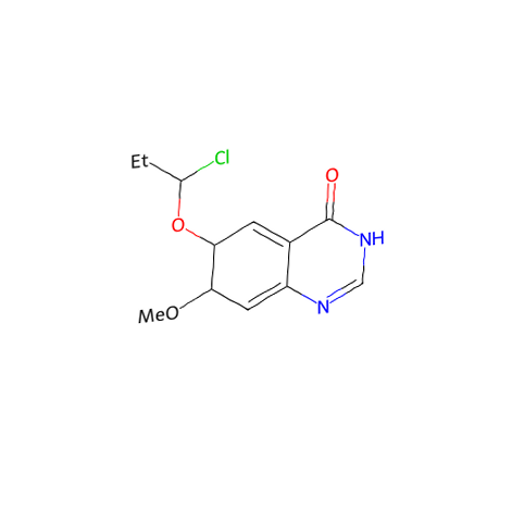 CCC(Cl)OC1C=c2c(nc[nH]c2=O)=CC1OC